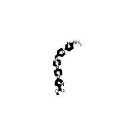 COC(=O)c1ccc(N2CCC(N3CCN(CC4CCN(c5ccc(N)nc5)CC4)CC3)CC2)cn1